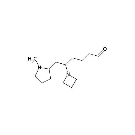 CN1CCCC1CC(CCCC=O)N1CCC1